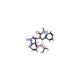 CNC(=O)C(Cc1ccccc1)c1c[nH]c2nccc(OC(C)C)c12